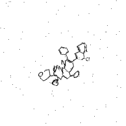 O=c1cc(CS(=O)(=O)C2CCOCC2)[nH]c2nc(-c3ccccc3)c(-c3cc(Cl)c4ncccc4c3)cc12